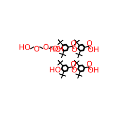 CC(C)(C)c1cc(C(=O)Oc2c(C(C)(C)C)cc(C(=O)O)cc2C(C)(C)C)cc(C(C)(C)C)c1O.CC(C)(C)c1cc(C(=O)Oc2c(C(C)(C)C)cc(C(=O)O)cc2C(C)(C)C)cc(C(C)(C)C)c1O.OCCOCCOCCO